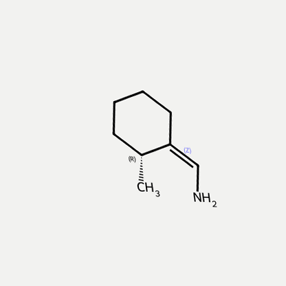 C[C@@H]1CCCC/C1=C/N